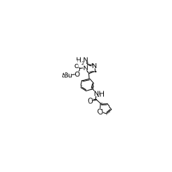 CC(C)(C)OC(=O)n1c(-c2cccc(NC(=O)c3ccco3)c2)cnc1N